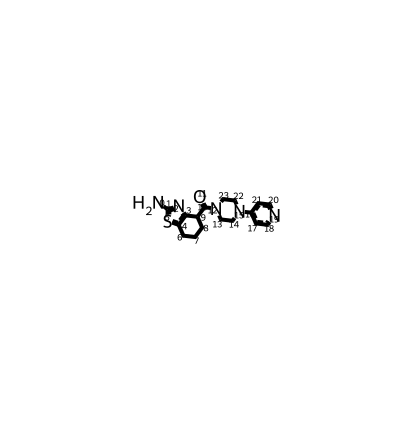 Nc1nc2c(s1)CCCC2C(=O)N1CCN(c2ccncc2)CC1